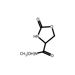 CN(O)C(=O)C1COC(=O)N1